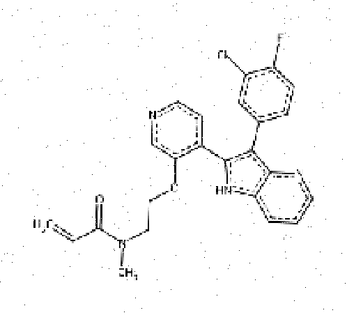 C=CC(=O)N(C)CCOc1cnccc1-c1[nH]c2cccnc2c1-c1ccc(F)c(Cl)c1